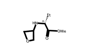 CC[C@@H](NC1COC1)C(=O)OC